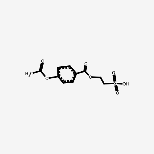 CC(=O)Oc1ccc(C(=O)OCCS(=O)(=O)O)cc1